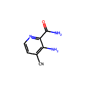 N#Cc1ccnc(C(N)=O)c1N